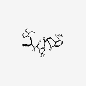 C#CC(CC1CCNC1=O)NC(=O)C1CC2(CCC2)CN1C(=O)c1cc2c(OC)cccc2[nH]1